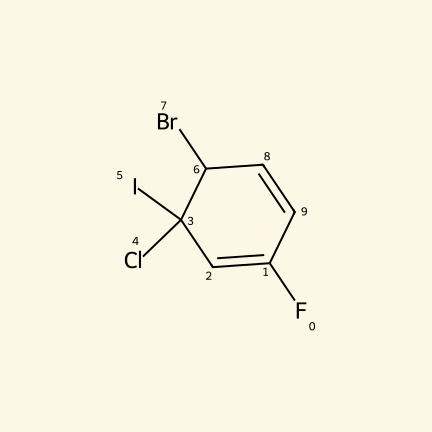 FC1=CC(Cl)(I)C(Br)C=C1